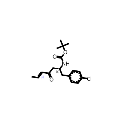 C/C=C/C(=O)C[C@H](Cc1ccc(Cl)cc1)NC(=O)OC(C)(C)C